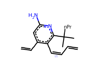 C=C/C=C\c1c(C=C)cc(N)nc1C(C)(C)CCC